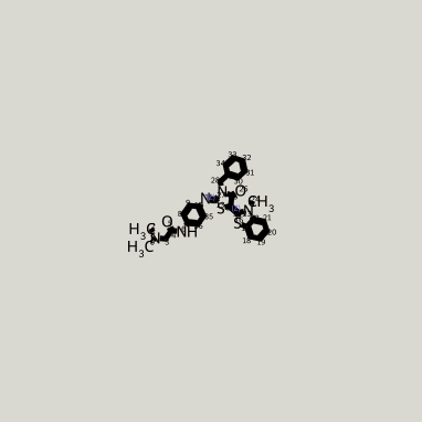 CN(C)CC(=O)Nc1ccc(/N=C2\S/C(=C3\Sc4ccccc4N3C)C(=O)N2Cc2ccccc2)cc1